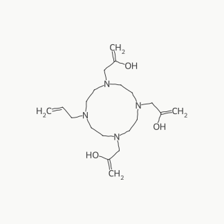 C=CCN1CCN(CC(=C)O)CCN(CC(=C)O)CCN(CC(=C)O)CC1